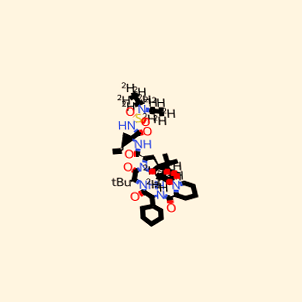 [2H]C([2H])([2H])C([2H])([2H])N(C([2H])([2H])C([2H])([2H])[2H])S(=O)(=O)NC(=O)[C@@]1(NC(=O)[C@@H]2C[C@@]3(CN2C(=O)[C@@H](NC(=O)[C@@H](NC(=O)[C@@H]2CCCCN2C([2H])(C([2H])([2H])[2H])C([2H])([2H])[2H])C2CCCCC2)C(C)(C)C)C(C)(C)C32CCC2)C[C@H]1C=C